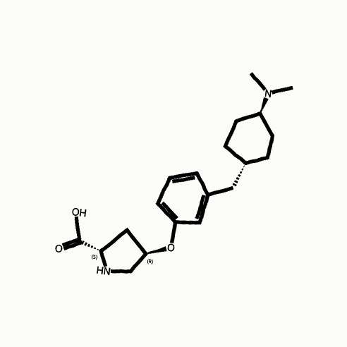 CN(C)[C@H]1CC[C@H](Cc2cccc(O[C@H]3CN[C@H](C(=O)O)C3)c2)CC1